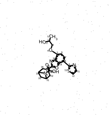 CC(O)COc1ccc(-c2nccs2)c2oc(N3CC4CC(C3)N4C(=O)O)nc12